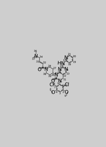 COc1cc(OC)c(Cl)c(N2Cc3cnc(Nc4ccccn4)nc3N(C3CCN(C(=O)C=CCN(C)C)CC3)C2=O)c1Cl